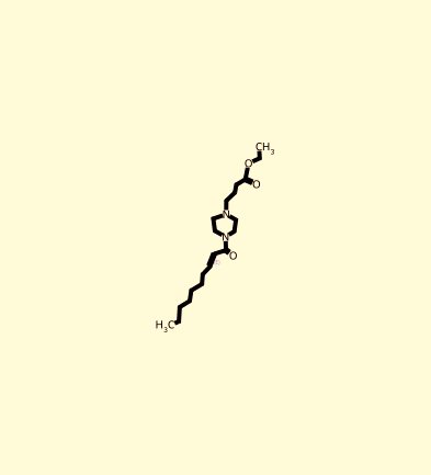 CCCCCCC/C=C/C(=O)N1CCN(CCCC(=O)OCC)CC1